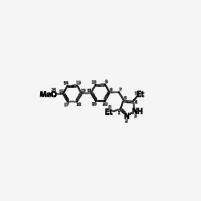 CCc1n[nH]c(CC)c1Cc1ccc(-c2ccc(OC)cc2)cc1